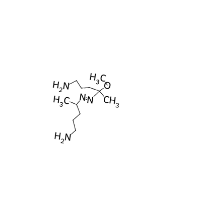 COC(C)(CCCN)N=NC(C)CCCN